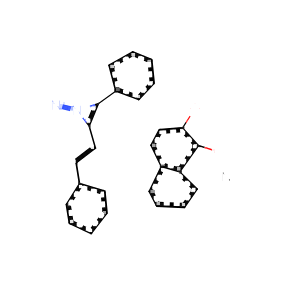 [N-]=[N+]1C(C=Cc2ccccc2)=C1c1ccccc1.[Ni].[O-]c1ccc2ccccc2c1[O-]